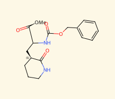 COC(=O)C(C[C@@H]1CCCNC1=O)NC(=O)OCc1ccccc1